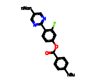 CCCCCCCCCc1cnc(-c2ccc(OC(=O)c3ccc(CCCC)cc3)cc2F)nc1